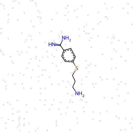 N=C(N)c1ccc(SCCCN)cc1